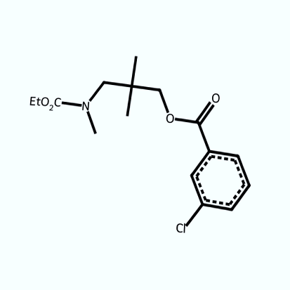 CCOC(=O)N(C)CC(C)(C)COC(=O)c1cccc(Cl)c1